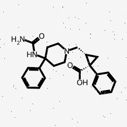 NC(=O)NC1(c2ccccc2)CCN(C[C@@H]2C[C@@]2(C(=O)O)c2ccccc2)CC1